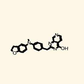 CN(c1ccc(Cc2nc(O)c3ccncc3n2)cc1)c1ccc2c(c1)CCO2